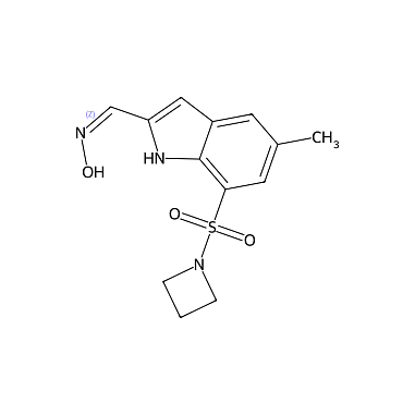 Cc1cc(S(=O)(=O)N2CCC2)c2[nH]c(/C=N\O)cc2c1